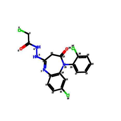 O=C(CCl)NNC1=Nc2ccc(Cl)cc2N(c2ccccc2Cl)C(=O)C1